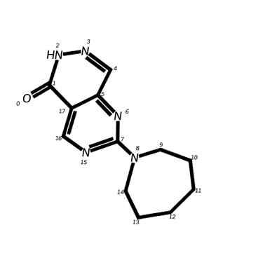 O=c1[nH]ncc2nc(N3CCCCCC3)ncc12